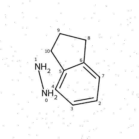 NN.c1ccc2c(c1)CCC2